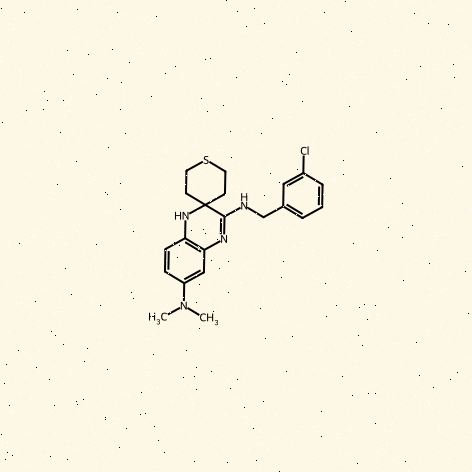 CN(C)c1ccc2c(c1)N=C(NCc1cccc(Cl)c1)C1(CCSCC1)N2